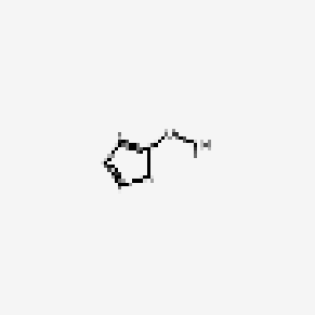 [SiH3]OC1=CC=CC1